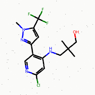 Cn1nc(-c2cnc(Cl)cc2NCC(C)(C)CO)cc1C(F)(F)F